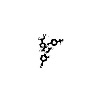 CCC(=O)C1CC[C@@]2(C1)C(=O)N(c1ccc(C#N)cc1F)CC(=O)N2Cc1ccc(C(F)(F)F)cc1